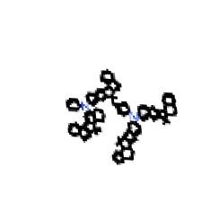 CC1(C)c2cc3cc(N(c4ccc(CC5(C)c6cc7cc(N(c8ccccc8)c8cc9c(c%10ccccc8%10)C(C)(C)c8ccc%10ccccc%10c8-9)ccc7cc6-c6c5ccc5ccccc65)cc4)c4ccc5cc6c(cc5c4)C(C)(C)c4c-6ccc5ccccc45)ccc3cc2-c2c1ccc1ccccc21